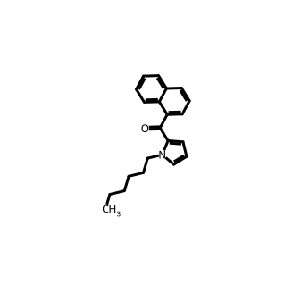 CCCCCCn1cccc1C(=O)c1cccc2ccccc12